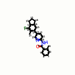 Cc1ccccc1C(=O)Nc1ccc(-c2cc3c(c(F)c2C)CCC3)cn1